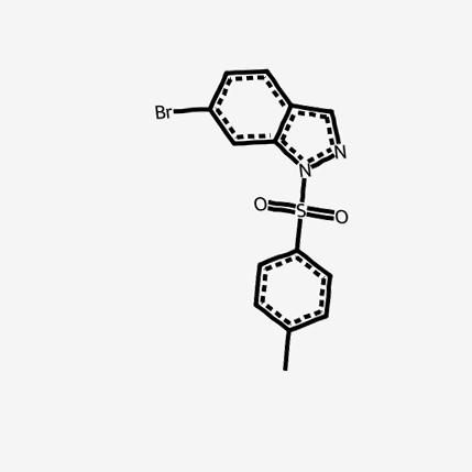 Cc1ccc(S(=O)(=O)n2ncc3ccc(Br)cc32)cc1